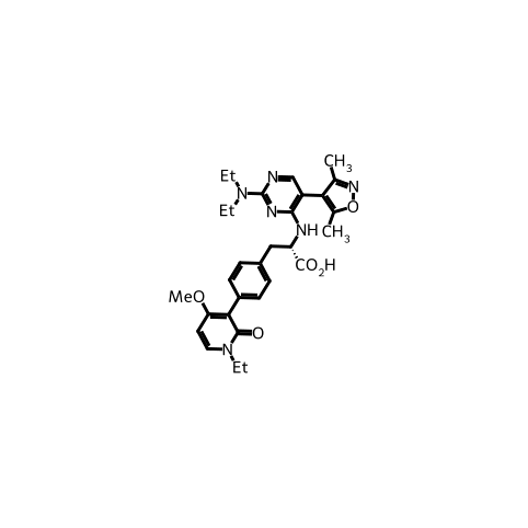 CCN(CC)c1ncc(-c2c(C)noc2C)c(N[C@@H](Cc2ccc(-c3c(OC)ccn(CC)c3=O)cc2)C(=O)O)n1